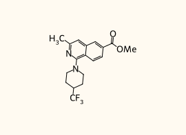 COC(=O)c1ccc2c(N3CCC(C(F)(F)F)CC3)nc(C)cc2c1